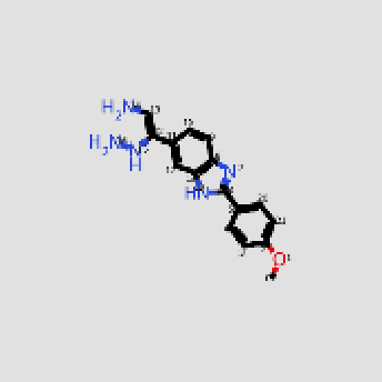 COc1ccc(-c2nc3ccc(/C(=C/N)NN)cc3[nH]2)cc1